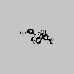 Cc1cccc(CN2CCOc3ccnc(N[C@@H](C)c4ccc(C(=O)O)cc4)c32)c1